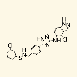 CN1NC(c2ccc(CNSC3=CC(Cl)CC=C3)cc2)N=C1Nc1ccc2[nH]ncc2c1Cl